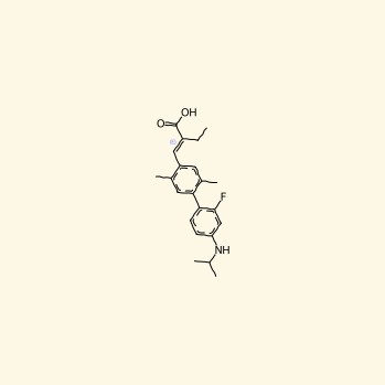 CC/C(=C\c1cc(C)c(-c2ccc(NC(C)C)cc2F)cc1C)C(=O)O